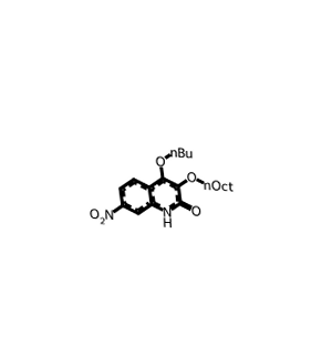 CCCCCCCCOc1c(OCCCC)c2ccc([N+](=O)[O-])cc2[nH]c1=O